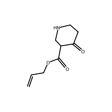 C=CCOC(=O)C1CNCCC1=O